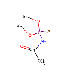 CCOP(=S)(NC(=O)C(Cl)(Cl)Cl)OCC